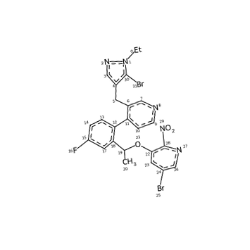 CCn1ncc(Cc2cnccc2-c2ccc(F)cc2C(C)Oc2cc(Br)cnc2[N+](=O)[O-])c1Br